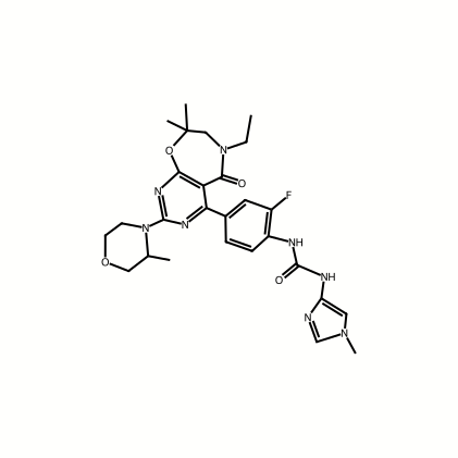 CCN1CC(C)(C)Oc2nc(N3CCOCC3C)nc(-c3ccc(NC(=O)Nc4cn(C)cn4)c(F)c3)c2C1=O